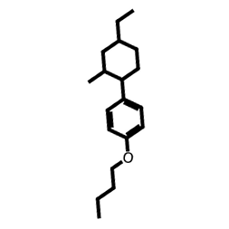 CCCCOc1ccc(C2CCC(CC)CC2C)cc1